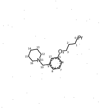 CC(C)CCCOc1cccc(CN2CCCCC2)c1